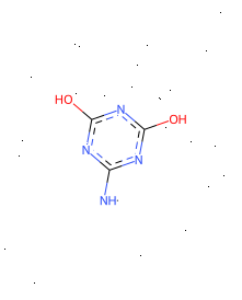 [NH]c1nc(O)nc(O)n1